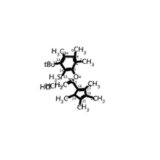 Cl.Cl.[CH2]=[Ti]([O]c1c(C)c(C)c(C)c(C(C)(C)C)c1[SiH3])[C]1=C(C)C(C)=C(C)C1C